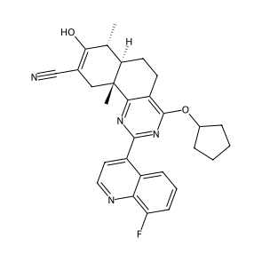 C[C@H]1C(O)=C(C#N)C[C@@]2(C)c3nc(-c4ccnc5c(F)cccc45)nc(OC4CCCC4)c3CC[C@H]12